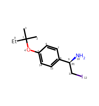 CCC(C)(C)Oc1ccc([C@@H](N)CI)cc1